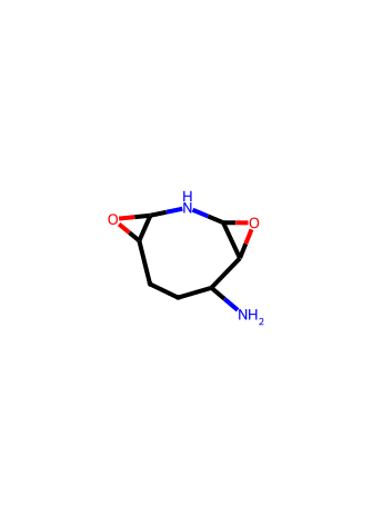 NC1CCC2OC2NC2OC12